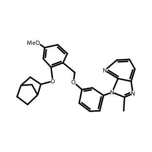 COc1ccc(COc2cccc(-n3c(C)nc4cccnc43)c2)c(OC2CC3CCC2C3)c1